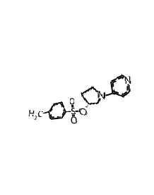 Cc1ccc(S(=O)(=O)O[C@@H]2CCN(c3ccncc3)C2)cc1